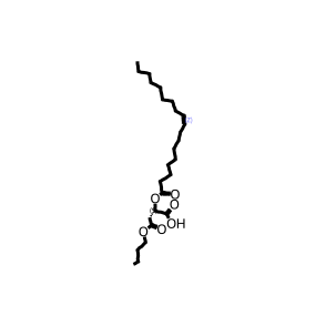 CCCCCCCC/C=C\CCCCCCCC(=O)O[C@@H](CC(=O)OCCCC)C(=O)O